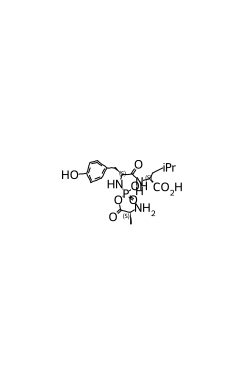 CC(C)C[C@H](NC(=O)[C@H](Cc1ccc(O)cc1)NP(=O)(O)OC(=O)[C@H](C)N)C(=O)O